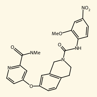 CNC(=O)c1cc(Oc2ccc3c(c2)CN(C(=O)Nc2ccc([N+](=O)[O-])cc2OC)CC3)ccn1